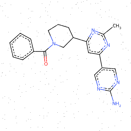 Cc1nc(-c2cnc(N)nc2)cc(C2CCCN(C(=O)c3ccccc3)C2)n1